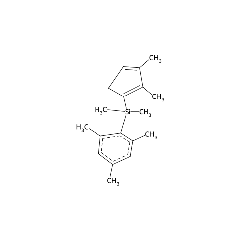 CC1=CCC([Si](C)(C)c2c(C)cc(C)cc2C)=C1C